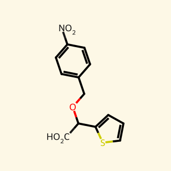 O=C(O)C(OCc1ccc([N+](=O)[O-])cc1)c1cccs1